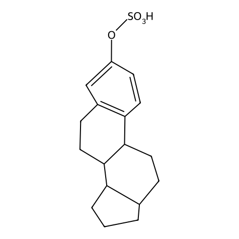 O=S(=O)(O)Oc1ccc2c(c1)CCC1C2CCC2CCCC21